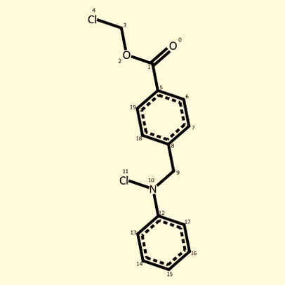 O=C(OCCl)c1ccc(CN(Cl)c2ccccc2)cc1